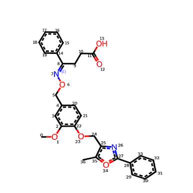 COc1cc(CO/N=C(\CCC(=O)O)c2ccccc2)ccc1OCc1nc(-c2ccccc2)oc1C